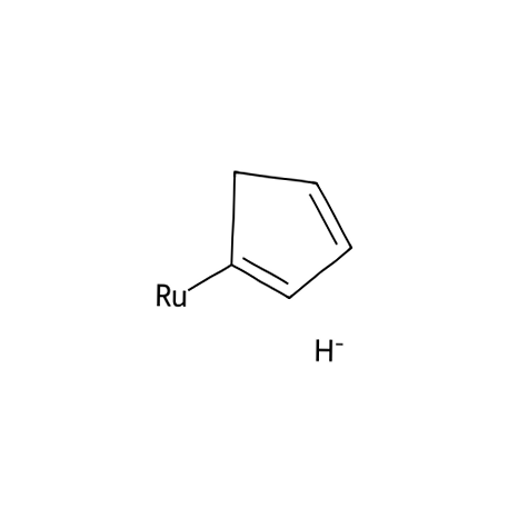 [H-].[Ru][C]1=CC=CC1